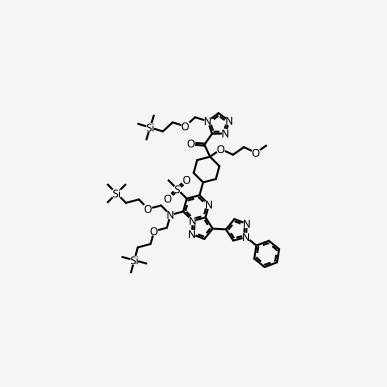 COCCOC1(C(=O)c2nncn2COCC[Si](C)(C)C)CCC(c2nc3c(-c4cnn(-c5ccccc5)c4)cnn3c(N(COCC[Si](C)(C)C)COCC[Si](C)(C)C)c2S(C)(=O)=O)CC1